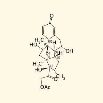 CC(=O)OCC(=O)[C@@]1(O)C(C)C[C@H]2[C@@H]3C(O)CC4=CC(=O)C=C[C@]4(C)[C@@]3(Br)C(O)C[C@@]21C